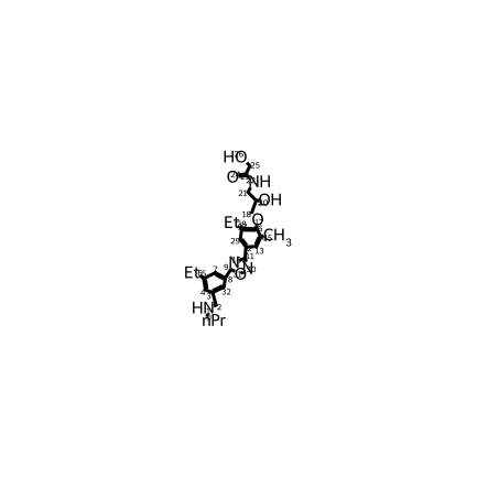 CCCNCc1cc(CC)cc(-c2nc(-c3cc(C)c(OCC(O)CNC(=O)CO)c(CC)c3)no2)c1